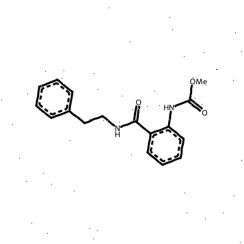 COC(=O)Nc1ccccc1C(=O)NCCc1ccccc1